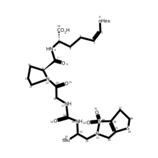 CCCCCC/C=C\CC[C@H](NC(=O)[C@@H]1CCCN1C(=O)CNC(=O)NC(CN1CC2=C(CCS2)S1(=O)=O)C(C)(C)C)C(=O)O